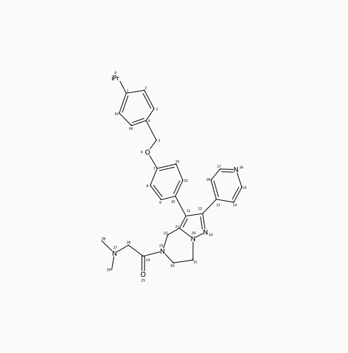 CC(C)c1ccc(COc2ccc(-c3c(-c4ccncc4)nn4c3CN(C(=O)CN(C)C)CC4)cc2)cc1